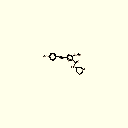 CNc1cc(C#Cc2ccc(C(F)(F)F)cc2)sc1C(=O)NC1CCCNC1